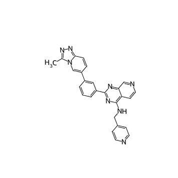 Cc1nnc2ccc(-c3cccc(-c4nc(NCc5ccncc5)c5ccncc5n4)c3)cn12